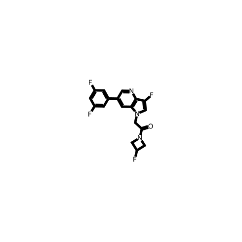 O=C(Cn1cc(F)c2ncc(-c3cc(F)cc(F)c3)cc21)N1CC(F)C1